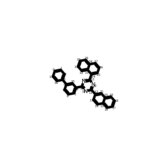 c1ccc(-c2cccc(-c3nc(-c4ccc5ccccc5c4)nc(-c4cccc5ccccc45)n3)c2)cc1